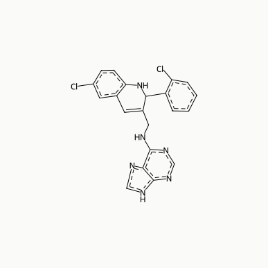 Clc1ccc2c(c1)C=C(CNc1ncnc3[nH]cnc13)C(c1ccccc1Cl)N2